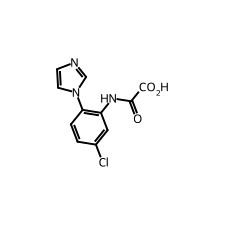 O=C(O)C(=O)Nc1cc(Cl)ccc1-n1ccnc1